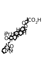 CC(C)C1=C2C(CC[C@]3(C)[C@@H]2CC[C@@H]2[C@@]4(C)CC[C@H](OC(=O)CC(C)(C)C(=O)O)C(C)(C)[C@@H]4CC[C@]23C)[C@H](CCN(Cc2ccccn2)C(=O)CN(C)C)C1=O